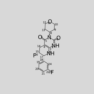 O=c1[nH]c2c(c(=O)n1C1CCOCC1)C[C@@H](F)[C@@H](c1cccc(F)c1)N2